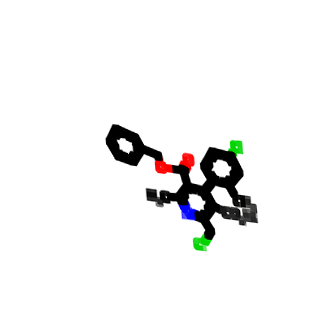 CCOC(=O)c1c(CCl)nc(C)c(C(=O)OCc2ccccc2)c1-c1ccc(Cl)cc1C